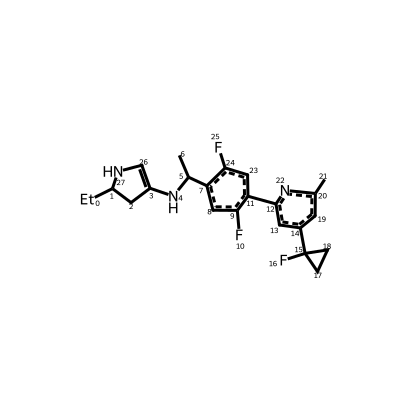 CCC1CC(NC(C)c2cc(F)c(-c3cc(C4(F)CC4)cc(C)n3)cc2F)=CN1